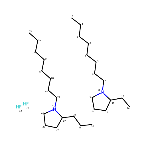 CCCCCCCCN1CCCC1CC.CCCCCCCCN1CCCC1CCC.F.F